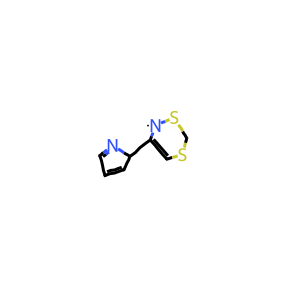 C1=CC(C2=CSCS[N]2)N=C1